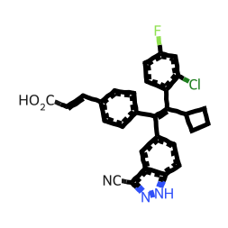 N#Cc1n[nH]c2ccc(C(=C(c3ccc(F)cc3Cl)C3CCC3)c3ccc(C=CC(=O)O)cc3)cc12